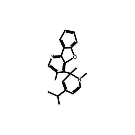 Cc1cnc2c(oc3ccccc32)c1C1(C)C=C(C(C)C)C=CN1C